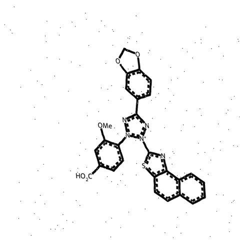 COc1cc(C(=O)O)ccc1-n1nc(-c2ccc3c(c2)OCO3)n[n+]1-c1nc2c(ccc3ccccc32)s1